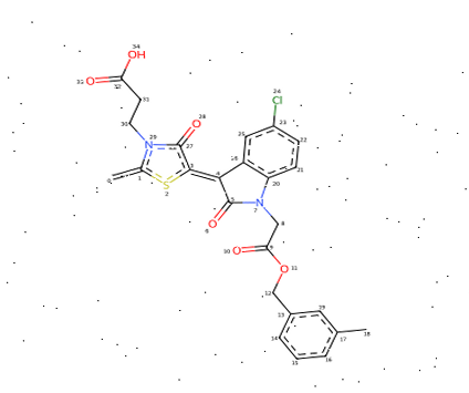 C=c1s/c(=C2\C(=O)N(CC(=O)OCc3cccc(C)c3)c3ccc(Cl)cc32)c(=O)n1CCC(=O)O